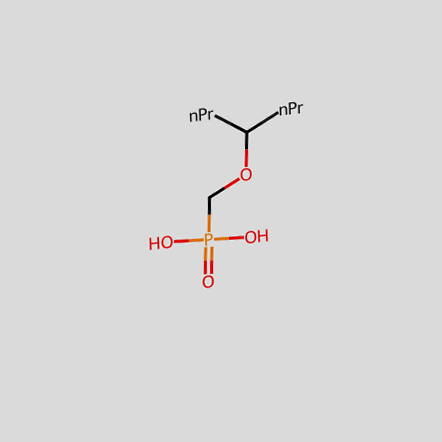 CCCC(CCC)OCP(=O)(O)O